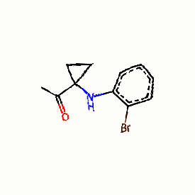 CC(=O)C1(Nc2ccccc2Br)CC1